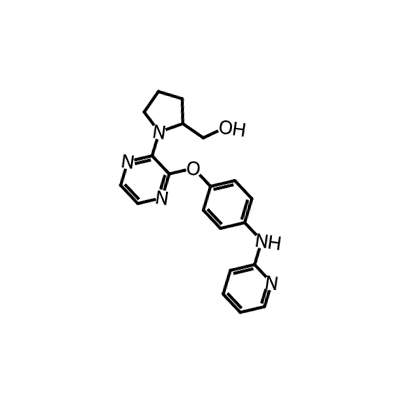 OCC1CCCN1c1nccnc1Oc1ccc(Nc2ccccn2)cc1